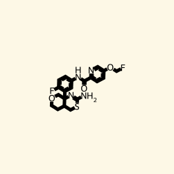 NC1=NC2(c3cc(NC(=O)c4ccc(OCF)cn4)ccc3F)COCCC2CS1